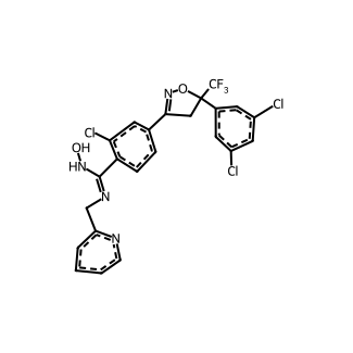 ON/C(=N\Cc1ccccn1)c1ccc(C2=NOC(c3cc(Cl)cc(Cl)c3)(C(F)(F)F)C2)cc1Cl